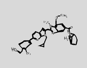 COc1cc(C(=O)N2CC3CCC2[C@@H]3N)cc2nc(-c3cc4ccc(-c5ccc(CO)c(C)c5)nc4n3CC3CC3)n(C)c12